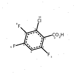 O=C(O)c1c(F)cc(F)c(F)c1Cl